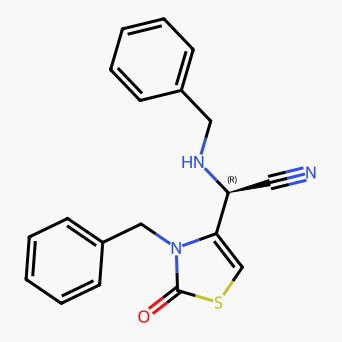 N#C[C@H](NCc1ccccc1)c1csc(=O)n1Cc1ccccc1